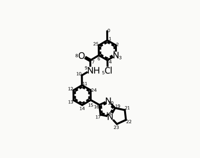 Cc1cnc(Cl)c(C(=O)NCc2cccc(-c3cn4c(n3)CCC4)c2)c1